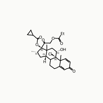 CCC(=O)OCC(=O)[C@@]1(OC(=O)C2CC2)[C@@H](C)C[C@H]2C3CCC4=CC(=O)C=CC4(C)[C@@]3(Cl)[C@@H](O)CC21C